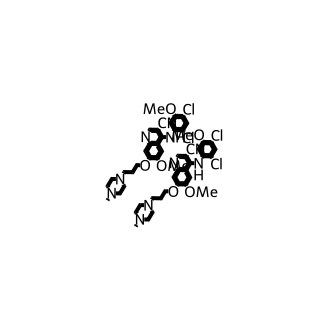 COc1cc(Nc2c(C#N)cnc3cc(OCCCN4CCN(C)CC4)c(OC)cc23)c(Cl)cc1Cl.COc1cc(Nc2c(C#N)cnc3cc(OCCCN4CCN(C)CC4)c(OC)cc23)c(Cl)cc1Cl